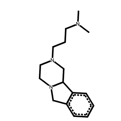 CN(C)CCCN1CCN2Cc3ccccc3C2C1